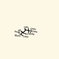 CCCC(CC)(C(=O)C(CC)(CCC)[Si](OC)(OC)OC)[Si](OC)(OC)OC